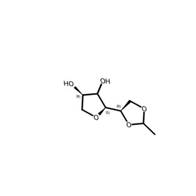 CC1OC[C@H]([C@H]2OC[C@@H](O)C2O)O1